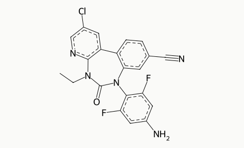 CCN1C(=O)N(c2c(F)cc(N)cc2F)c2cc(C#N)ccc2-c2cc(Cl)cnc21